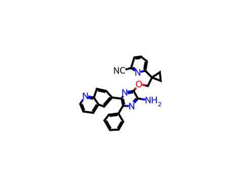 N#Cc1cccc(C2(COc3nc(-c4ccc5ncccc5c4)c(-c4ccccc4)nc3N)CC2)n1